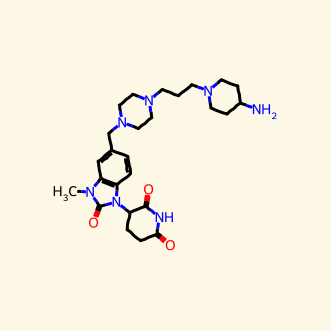 Cn1c(=O)n(C2CCC(=O)NC2=O)c2ccc(CN3CCN(CCCN4CCC(N)CC4)CC3)cc21